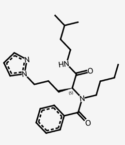 CCCCN(C(=O)c1ccccc1)[C@@H](CCCn1cccn1)C(=O)NCCC(C)C